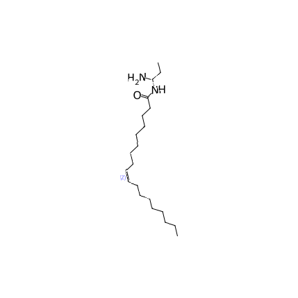 CCCCCCCC/C=C\CCCCCCCC(=O)NC(N)CC